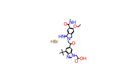 Br.CCOc1cc2c(cc1C(=O)NC)C(=N)N(CC(=O)c1cc(C(C)(C)C)c3ncn(CC(=O)O)c3c1)C2